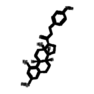 CSc1ccc(CCC(=O)[C@H]2CC[C@H]3[C@@H]4CCc5cc(S(=O)(=O)O)cc(C(F)(F)F)c5[C@H]4CC[C@]23C)cc1